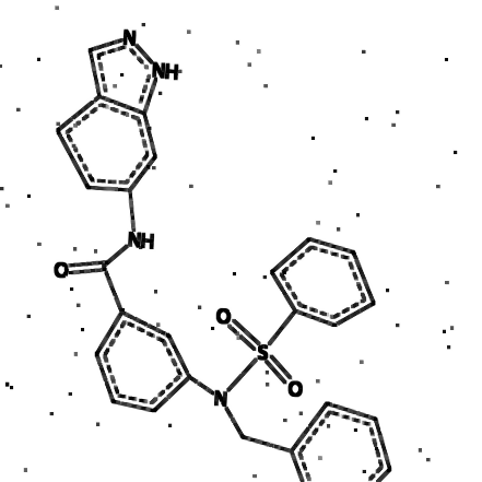 O=C(Nc1ccc2cn[nH]c2c1)c1cccc(N(Cc2ccccc2)S(=O)(=O)c2ccccc2)c1